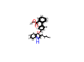 CCCCC1=CNC2=C(CCCC2)C1OCc1ccc(-c2ccccc2C(=O)OC)cc1